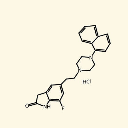 Cl.O=C1Cc2cc(CCN3CCN(c4cccc5ccccc45)CC3)cc(F)c2N1